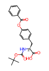 CC(C)(C)OC(=O)N[C@@H](Cc1ccc(OC(=O)c2ccccc2)cc1)C(=O)O